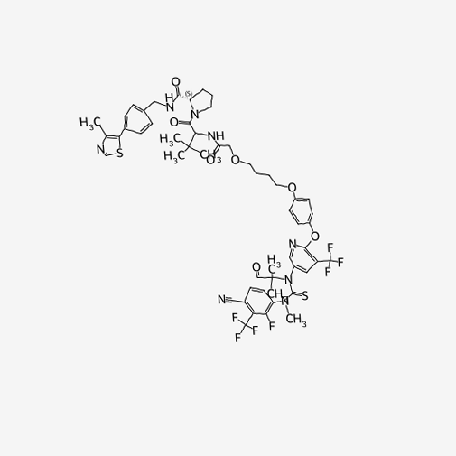 Cc1ncsc1-c1ccc(CNC(=O)[C@@H]2CCCN2C(=O)C(NC(=O)COCCCCOc2ccc(Oc3ncc(N(C(=S)N(C)c4ccc(C#N)c(C(F)(F)F)c4F)C(C)(C)C=O)cc3C(F)(F)F)cc2)C(C)(C)C)cc1